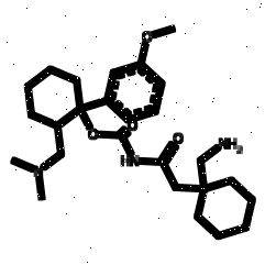 COc1cccc(C2(OC(=O)NC(=O)CC3(CN)CCCCC3)CCCCC2CN(C)C)c1